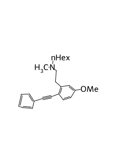 CCCCCCN(C)CCc1cc(OC)ccc1C#Cc1ccccc1